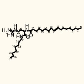 CCCCCCCCC=CCCCCCCCC(=O)NC(CCNC(=N)N)C(=O)NCCCCCCCC